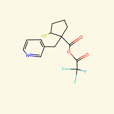 O=C(OC(=O)C1(Cc2cccnc2)CCCC1S)C(F)(F)F